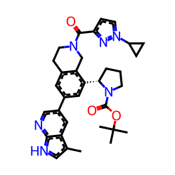 Cc1c[nH]c2ncc(-c3cc4c(c([C@@H]5CCCN5C(=O)OC(C)(C)C)c3)CN(C(=O)c3ccn(C5CC5)n3)CC4)cc12